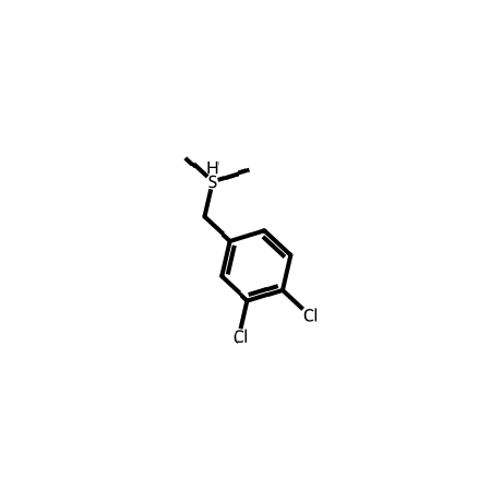 C[SH](C)Cc1ccc(Cl)c(Cl)c1